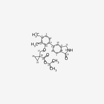 Cc1ccc(-c2ccc3c(c2)CNC3=O)c(OCC2(C(=O)OC(C)C)CC2)c1C